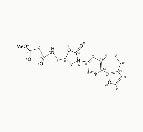 COC(=O)CC(=O)NCC1CN(c2ccc3c(c2)CCCc2cnoc2-3)C(=O)O1